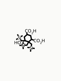 C[Si](C)(C)CC1(C(=O)O)CC(C(=O)O)CC(C(=O)O)C1(C[Si](C)(C)C)C[Si](C)(C)C